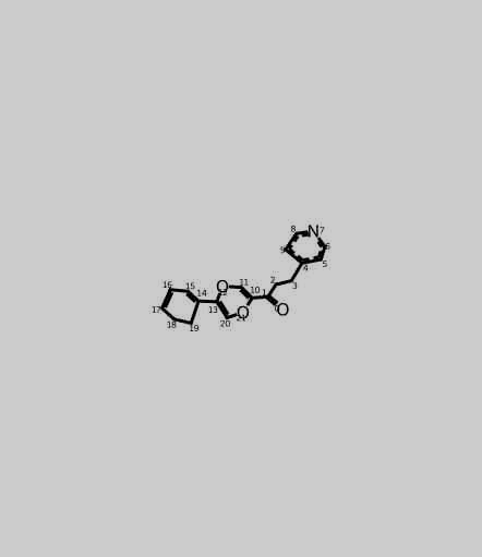 O=C(CCc1ccncc1)C1=COC(C2=CC=CCC2)=CO1